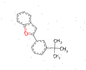 CC(C)(C)c1cccc(-c2cc3ccccc3o2)c1